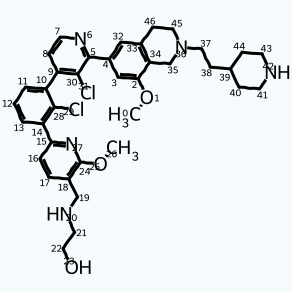 COc1cc(-c2nccc(-c3cccc(-c4ccc(CNCCO)c(OC)n4)c3Cl)c2Cl)cc2c1CN(CCC1CCNCC1)CC2